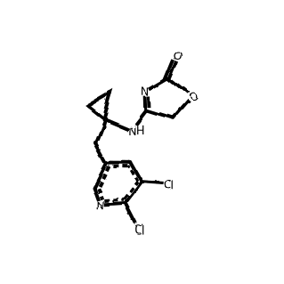 O=C1N=C(NC2(Cc3cnc(Cl)c(Cl)c3)CC2)CO1